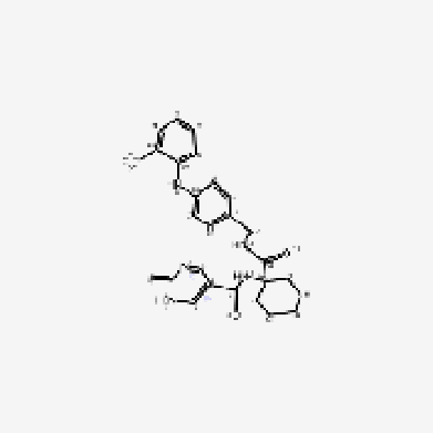 C=C/N=C\C(=C/N)C(=O)NC1(C(=O)NCc2ccc(Nc3ccccc3C(F)(F)F)cn2)CCCCC1